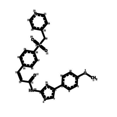 COc1ccc(-c2csc(NC(=O)/C=C\c3ccc(S(=O)(=O)Cc4ccncc4)cc3)n2)cc1